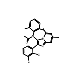 CC(=O)N(c1c(C)cccc1C)c1c(-c2cccc(Cl)c2Cl)nc2cc(C)cc(C)n12